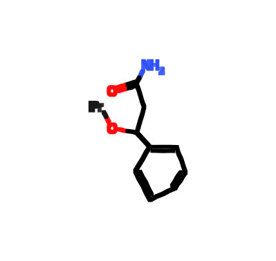 CC(C)OC(CC(N)=O)c1ccccc1